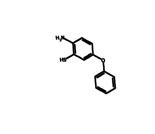 Nc1ccc(Oc2ccccc2)cc1S